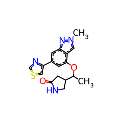 CC(Oc1cc(-c2cscn2)cc2nn(C)cc12)C1CNC(=O)C1